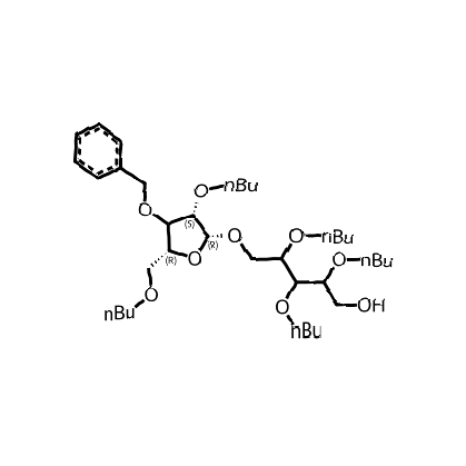 CCCCOC[C@H]1O[C@@H](OCC(OCCCC)C(OCCCC)C(CO)OCCCC)[C@@H](OCCCC)C1OCc1ccccc1